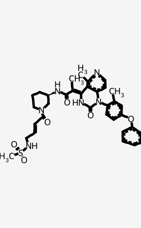 C/C(C(=O)N[C@@H]1CCCN(C(=O)/C=C/CNS(C)(=O)=O)C1)=C1/NC(=O)N(c2ccc(Oc3ccccc3)cc2C)c2ccnc(C)c21